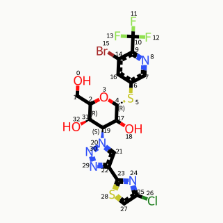 OCC1O[C@H](Sc2cnc(C(F)(F)F)c(Br)c2)C(O)[C@@H](n2cc(-c3nc(Cl)cs3)nn2)[C@H]1O